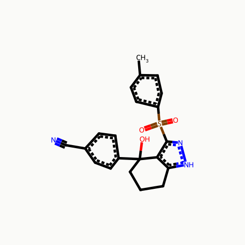 Cc1ccc(S(=O)(=O)c2n[nH]c3c2C(O)(c2ccc(C#N)cc2)CCC3)cc1